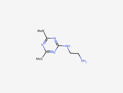 CNc1nc(NCCN)nc(SC)n1